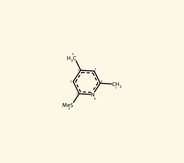 CSc1cc(C)cc(C)n1